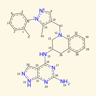 Cc1ccccc1-n1ncc(CN2CC(Nc3nc(N)nc4[nH]ncc34)Cc3ccccc32)c1C